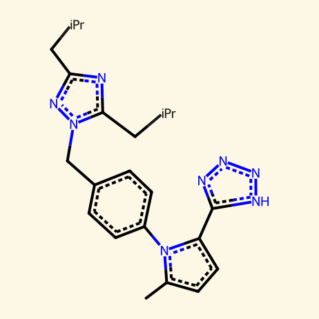 Cc1ccc(-c2nnn[nH]2)n1-c1ccc(Cn2nc(CC(C)C)nc2CC(C)C)cc1